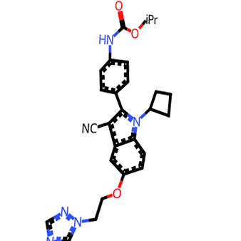 CC(C)OC(=O)Nc1ccc(-c2c(C#N)c3cc(OCCn4cncn4)ccc3n2C2CCC2)cc1